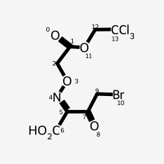 O=C(CON=C(C(=O)O)C(=O)CBr)OCC(Cl)(Cl)Cl